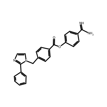 N=C(N)c1ccc(OC(=O)c2ccc(Cn3ccnc3-c3ccccc3)cc2)cc1